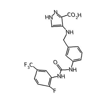 O=C(Nc1cccc(CNc2c[nH]nc2C(=O)O)c1)Nc1cc(C(F)(F)F)ccc1F